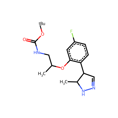 CC(CNC(=O)OC(C)(C)C)Oc1cc(F)ccc1C1C=NNC1C